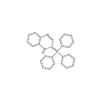 O=C1C(=P(c2ccccc2)(c2ccccc2)c2ccccc2)C=Nc2ccccc21